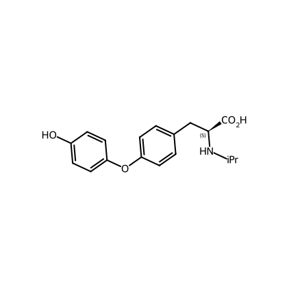 CC(C)N[C@@H](Cc1ccc(Oc2ccc(O)cc2)cc1)C(=O)O